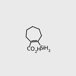 O=C(O)C1=C([SiH3])CCCCC1